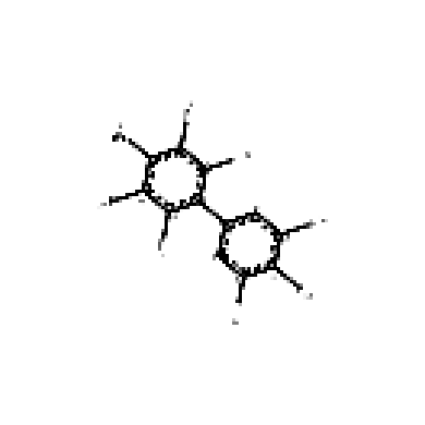 CCCc1c(F)c(F)c(-c2cc(F)c(F)c(F)c2)c(F)c1F